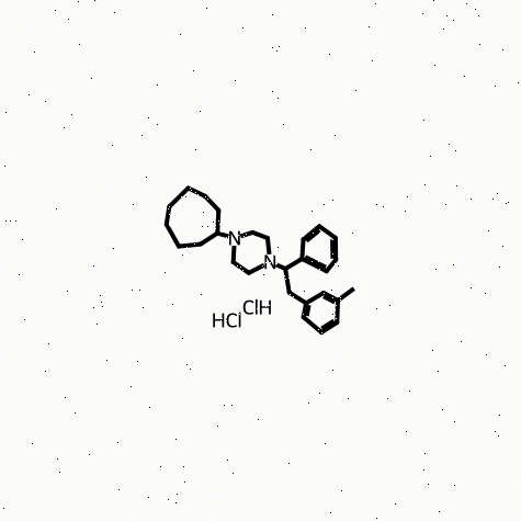 Cc1cccc(CC(c2ccccc2)N2CCN(C3CCCCCCC3)CC2)c1.Cl.Cl